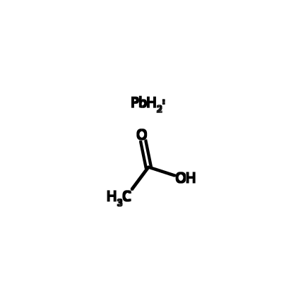 CC(=O)O.[PbH2]